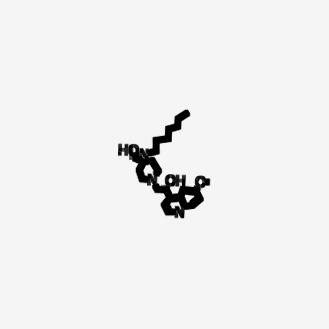 CCCCCCCNC1(CO)CCN(C[C@H](O)c2ccnc3ccc(OC)cc23)CC1